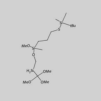 COC(OC)(OC)[SiH2]CO[Si](C)(CCCS[Si](C)(C)C(C)(C)C)OC